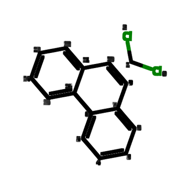 ClCCl.c1ccc2c(c1)ccc1ccccc12